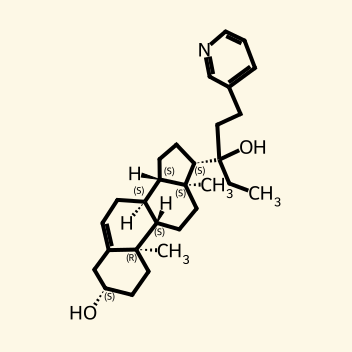 CCC(O)(CCc1cccnc1)[C@H]1CC[C@H]2[C@@H]3CC=C4C[C@@H](O)CC[C@]4(C)[C@H]3CC[C@]12C